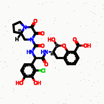 O=C(O)c1cccc2c1OB(O)[C@@H](NC(=O)C(NC(=O)N1C[C@@H]3CCCN3C(=O)C1=O)c1ccc(O)c(O)c1Cl)C2